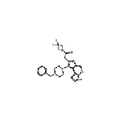 O=C(Cc1nc2cnc3[nH]ccc3c2n1C1CCN(Cc2ccccc2)CC1)N1CC(F)(F)C1